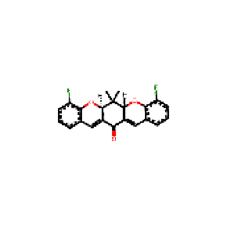 CC1(C)[C@@H]2Oc3c(F)cccc3C=C2C(=O)C2=Cc3cccc(F)c3O[C@H]21